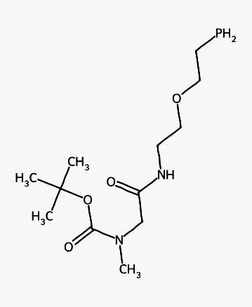 CN(CC(=O)NCCOCCP)C(=O)OC(C)(C)C